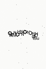 CC(C)(C)OC(=O)NC1CCN(c2ccc3[nH]c(-c4ccc5[nH]c(-c6ccccn6)nc5c4)nc3c2)CC1